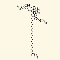 CCCCCCCCCCCCCCCCCCCCC(CC(=O)C1=CN(CC(C)C)CCC1(C)C)C(=O)OCCC